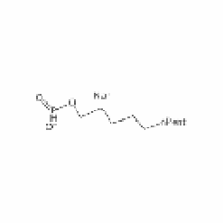 CCCCCCCCCCO[PH](=O)[O-].[Na+]